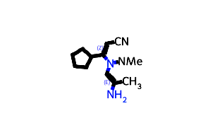 CNN(/C=C(\C)N)/C(=C\C#N)C1CCCC1